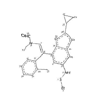 CCSNc1cc(/C(=C/N(C)C=O)c2ccccc2C)c2oc(C3CC3)cc2c1